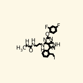 CNC(=O)NCCNc1nc(Oc2ccc(F)cc2F)nc2[nH]nc(-c3ccccc3CI)c12